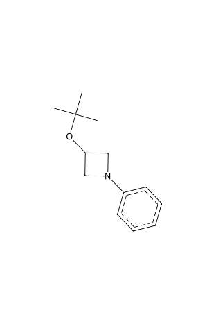 CC(C)(C)OC1CN(c2ccccc2)C1